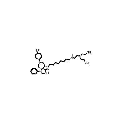 CC(C)C1CCC(N2CC[C@@]3(C(=O)NCN3c3ccccc3)[C@@H](CCCCCCCCCNCCN(CCN)CCN)C2)CC1